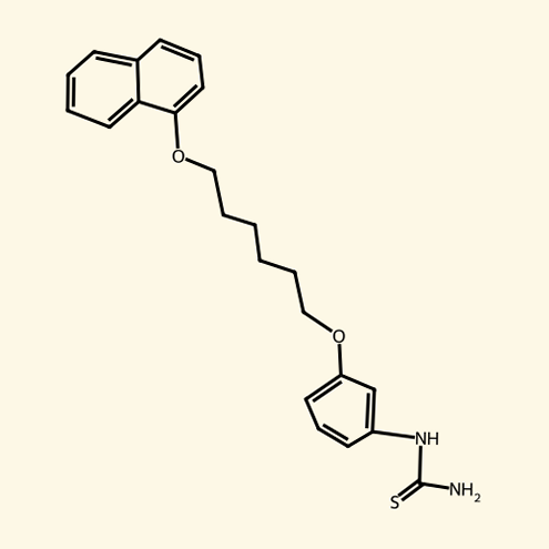 NC(=S)Nc1cccc(OCCCCCCOc2cccc3ccccc23)c1